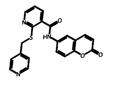 O=C(Nc1ccc2oc(=O)ccc2c1)c1cccnc1SCc1ccncc1